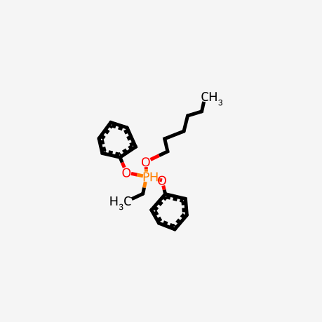 CCCCCCO[PH](CC)(Oc1ccccc1)Oc1ccccc1